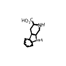 O=C(O)C1CC2c3ccccc3NC2CN1